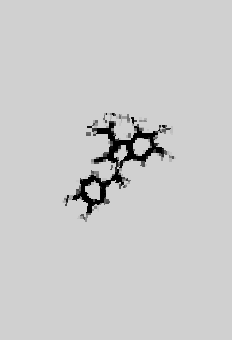 CCC(C(=O)O)c1c(C)n(C(=O)c2ccc(F)c(F)c2)c2cc(F)c(O)c(F)c12